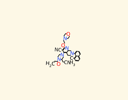 C=CC(=O)N1CCN(c2c(C#N)c(OCCN3CCOCC3)nc3c2CCN(c2cccc4cccc(C)c24)C3)CC1CC#N